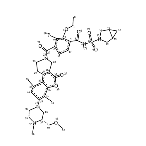 CCOc1c(C(=O)NS(=O)(=O)N2CC3CC3C2)ccc(C(=O)N2CCc3c(c(=O)oc4c(C)c(N5CCN(C)[C@@H](COC)C5)cc(C)c34)C2)c1F